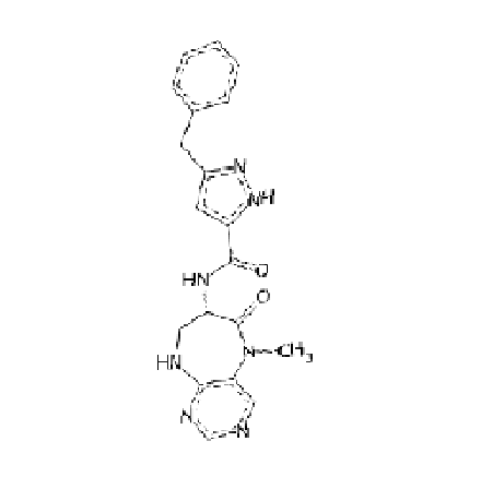 CN1C(=O)[C@@H](NC(=O)c2cc(Cc3ccccc3)n[nH]2)CNc2ncncc21